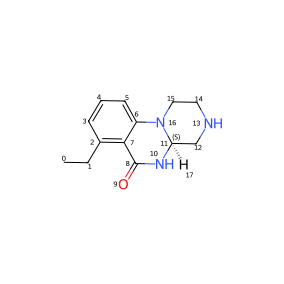 CCc1cccc2c1C(=O)N[C@@H]1CNCCN21